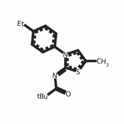 CCc1ccc(-n2cc(C)sc2=NC(=O)C(C)(C)C)cc1